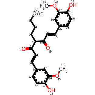 CC(=O)OCCCC(C(=O)C=Cc1ccc(O)c(OC(F)(F)F)c1)C(=O)C=Cc1ccc(O)c(OC(F)(F)F)c1